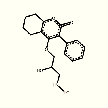 CC(C)NCC(O)COc1c2c(oc(=O)c1-c1ccccc1)CCCC2